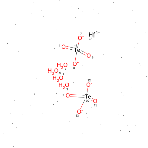 O.O.O.O.O=[Te](=O)([O-])[O-].O=[Te](=O)([O-])[O-].[Hf+4]